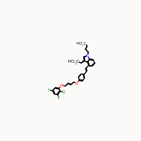 O=C(O)CCCn1cc(CC(=O)O)c2c(C=Cc3ccc(OCC=CCOc4cc(F)cc(F)c4Cl)cc3)cccc21